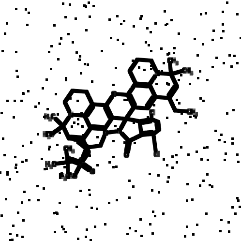 CCC1=CC(C)(C)N2CCCc3c4c(cc1c32)C1(c2cc3c5c(c2O4)CCCN5C(C)(C)C=C3CS(=O)(=O)O)c2c(Cl)ccc(Cl)c2C(=O)N1OCC(=O)OC(C)(C)C